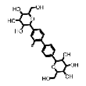 OCC1OC(c2ccc(-c3ccc(C4OC(CO)C(O)C(O)C4O)cc3F)cc2)C(O)C(O)C1O